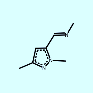 C/N=C/c1cc(C)nn1C